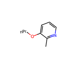 [CH2]CCOc1cccnc1C